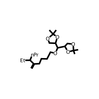 C=C(CCCCOC(C1COC(C)(C)O1)C1COC(C)(C)O1)C(CC)CCC